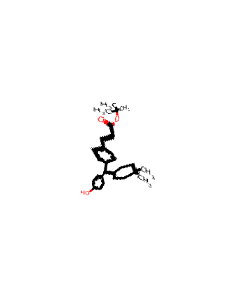 CC1(C)CCC(=C(c2ccc(O)cc2)c2ccc(C=CC(=O)OC(C)(C)C)cc2)CC1